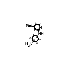 N#Cc1ccnc(N[C@H]2CC[C@H](N)CC2)c1